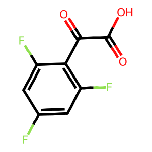 O=C(O)C(=O)c1c(F)cc(F)cc1F